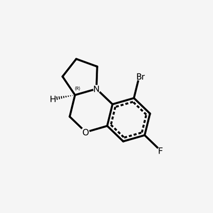 Fc1cc(Br)c2c(c1)OC[C@H]1CCCN21